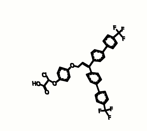 O=C(O)C(Cl)Oc1ccc(OCC=C(c2ccc(-c3ccc(C(F)(F)F)cc3)cc2)c2ccc(-c3ccc(C(F)(F)F)cc3)cc2)cc1